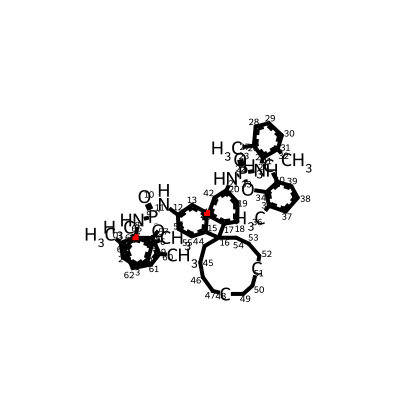 Cc1cccc(C)c1NP(=O)(Nc1ccc(C2(c3ccc(NP(=O)(Nc4c(C)cccc4C)Oc4c(C)cccc4C)cc3)CCCCCCCCCCC2)cc1)Oc1c(C)cccc1C